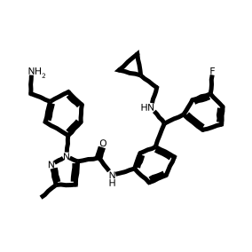 Cc1cc(C(=O)Nc2cccc(C(NCC3CC3)c3cccc(F)c3)c2)n(-c2cccc(CN)c2)n1